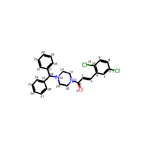 O=C(/C=C/c1cc(Cl)ccc1Cl)N1CCN(C(c2ccccc2)c2ccccc2)CC1